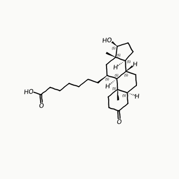 C[C@]12CCC(=O)C[C@@H]1CC[C@@H]1[C@@H]2[C@@H](CCCCCCC(=O)O)C[C@]2(C)[C@@H](O)CC[C@@H]12